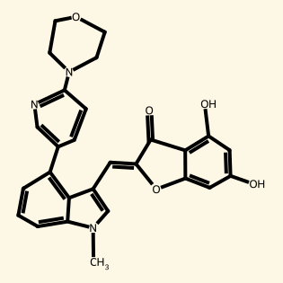 Cn1cc(C=C2Oc3cc(O)cc(O)c3C2=O)c2c(-c3ccc(N4CCOCC4)nc3)cccc21